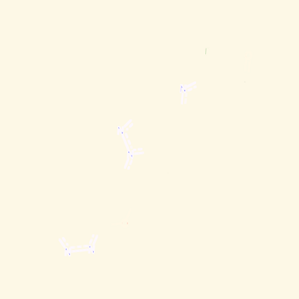 CC(=O)c1ccc(-c2cnn3cc(Oc4ccc(C)nn4)ccc23)nc1F